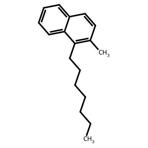 CCCCCCCc1c(C)ccc2ccccc12